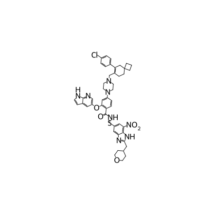 O=C(NSc1cc([N+](=O)[O-])c2[nH]c(CC3CCOCC3)nc2c1)c1ccc(N2CCN(CC3=C(c4ccc(Cl)cc4)CC4(CCC4)CC3)CC2)cc1Oc1cnc2[nH]ccc2c1